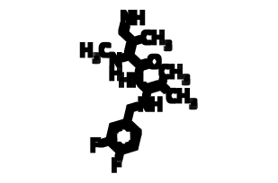 CN/C(C(=O)NC(NCc1ccc(F)c(F)c1)=C(C)C)=C(/C)C=N